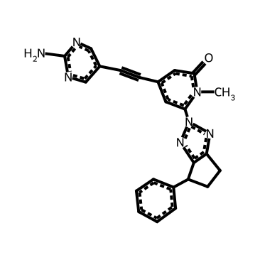 Cn1c(-n2nc3c(n2)C(c2ccccc2)CC3)cc(C#Cc2cnc(N)nc2)cc1=O